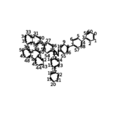 c1ccc(-c2ccc(-c3ccc(N(c4ccc(-c5ccccc5)cc4)c4ccc(-c5ccc6ccccc6c5-c5cc6ccccc6c6ccccc56)cc4)cc3)cc2)cc1